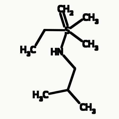 C=S(C)(C)(CC)NCC(C)C